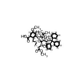 COC(=O)[C@H](CSCc1c(O[Si](C)(C)C(C)(C)C)cc(OC)cc1C(=O)O)N(C)C(=O)CCOC(c1ccccc1)(c1ccccc1)c1ccccc1